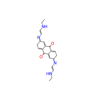 CCNC=CN=C1C=C2C(=O)C3=CCC(=NC=CNCC)C=C3C(=O)C2=CC1